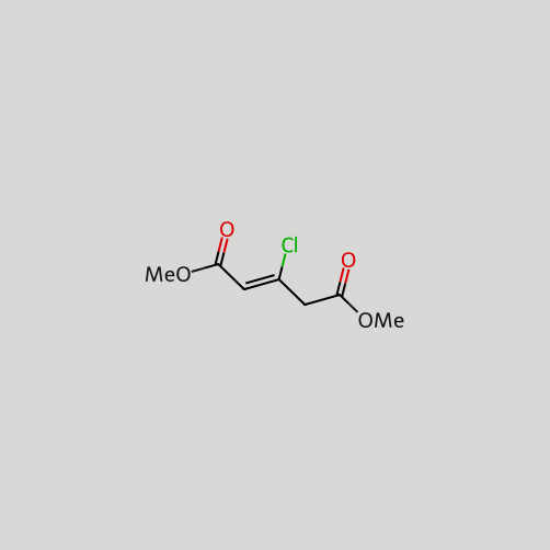 COC(=O)C=C(Cl)CC(=O)OC